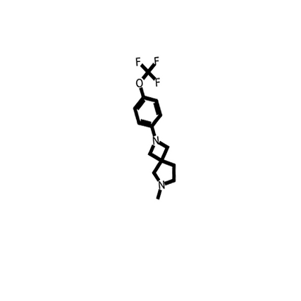 CN1CCC2(C1)CN(c1ccc(OC(F)(F)F)cc1)C2